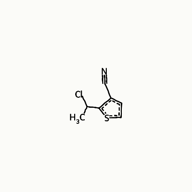 CC(Cl)c1sccc1C#N